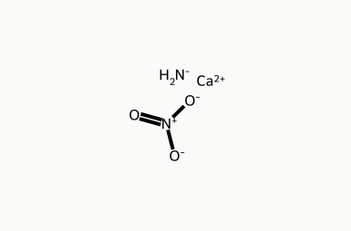 O=[N+]([O-])[O-].[Ca+2].[NH2-]